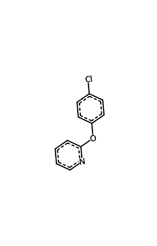 Clc1ccc(Oc2ccccn2)cc1